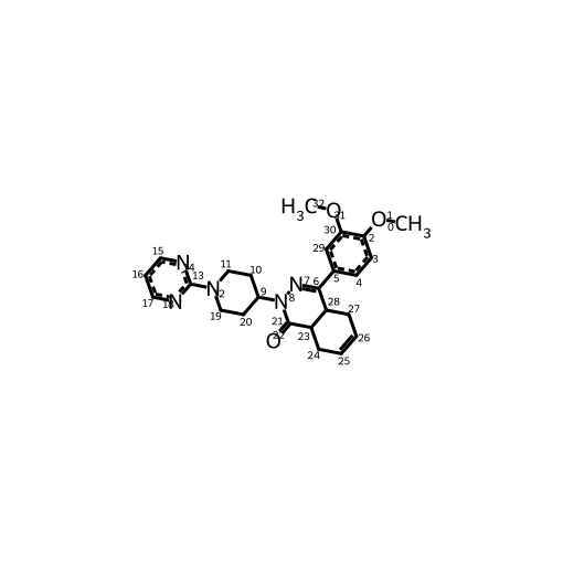 COc1ccc(C2=NN(C3CCN(c4ncccn4)CC3)C(=O)C3CC=CCC23)cc1OC